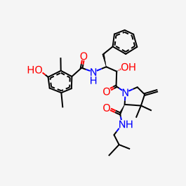 C=C1CN(C(=O)[C@@H](O)[C@H](Cc2ccccc2)NC(=O)c2cc(C)cc(O)c2C)[C@H](C(=O)NCC(C)C)C1(C)C